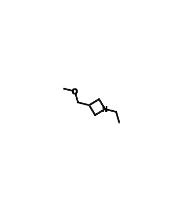 CCN1CC(COC)C1